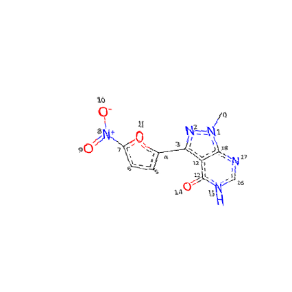 Cn1nc(-c2ccc([N+](=O)[O-])o2)c2c(=O)[nH]cnc21